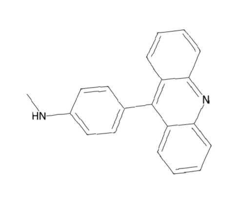 CNc1ccc(-c2c3ccccc3nc3ccccc23)cc1